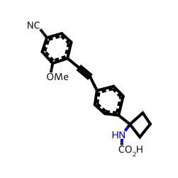 COc1cc(C#N)ccc1C#Cc1ccc(C2(NC(=O)O)CCC2)cc1